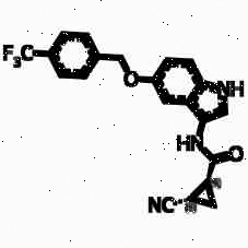 N#C[C@H]1C[C@@H]1C(=O)Nc1c[nH]c2ccc(OCc3ccc(C(F)(F)F)cc3)cc12